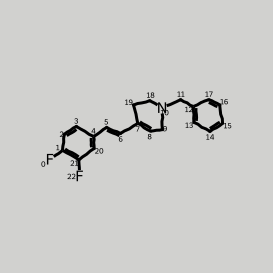 Fc1ccc(/C=C/C2=CCN(Cc3ccccc3)CC2)cc1F